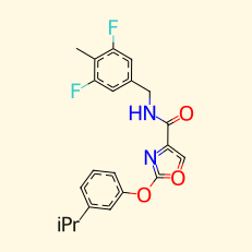 Cc1c(F)cc(CNC(=O)c2coc(Oc3cccc(C(C)C)c3)n2)cc1F